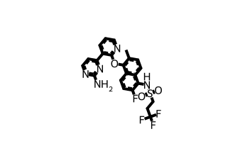 Cc1ccc2c(NS(=O)(=O)CCC(F)(F)F)c(F)ccc2c1Oc1ncccc1-c1ccnc(N)n1